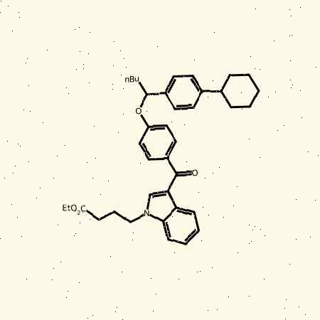 CCCCC(Oc1ccc(C(=O)c2cn(CCCC(=O)OCC)c3ccccc23)cc1)c1ccc(C2CCCCC2)cc1